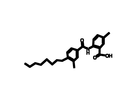 CCCCCCCCc1ccc(C(=O)Nc2ccc(C)cc2C(=O)O)cc1C